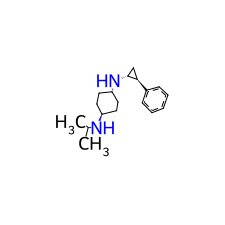 CC(C)N[C@H]1CC[C@H](N[C@@H]2C[C@H]2c2ccccc2)CC1